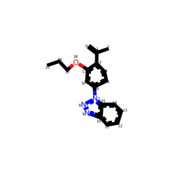 C=C(C)c1ccc(-n2nnc3ccccc32)cc1OCCC